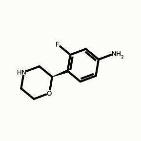 Nc1ccc([C@@H]2CNCCO2)c(F)c1